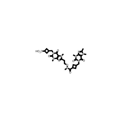 Cc1nc2c(c(=O)n(CC3CC(C(=O)N(C)OCCc4nc5c(c(=O)n(CC6CC(C(=O)O)C6)c(=O)n5C)n4C)C3)c(=O)n2C)n1C